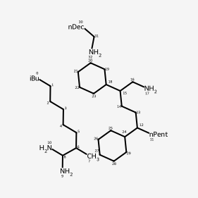 CCC(C)CCCCCC(C)C(N)N.CCCCCC(CCC(CN)C1CCCCC1)C1CCCCC1.CCCCCCCCCCCN